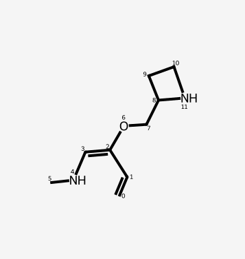 C=C/C(=C\NC)OCC1CCN1